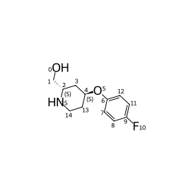 OC[C@@H]1C[C@@H](Oc2ccc(F)cc2)CCN1